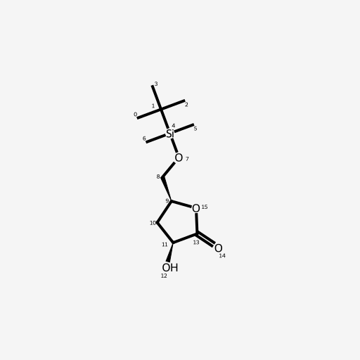 CC(C)(C)[Si](C)(C)OC[C@@H]1C[C@H](O)C(=O)O1